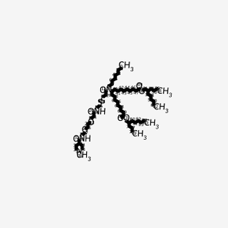 CCCCCCCCCN(C(=O)CCSSCCNC(=O)CCOCCOCCNC(=O)C1CCN(C)CC1)C(CCCCCCCCC(=O)OCC(CCCC)CCCCCC)CCCCCCCCC(=O)OCC(CCCC)CCCCCC